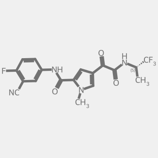 C[C@H](NC(=O)C(=O)c1cc(C(=O)Nc2ccc(F)c(C#N)c2)n(C)c1)C(F)(F)F